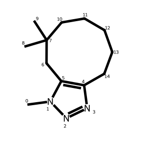 Cn1nnc2c1CC(C)(C)CCCCC2